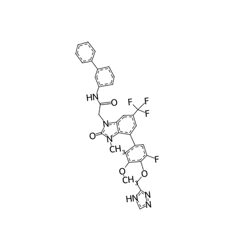 COc1cc(-c2cc(C(F)(F)F)cc3c2n(C)c(=O)n3CC(=O)Nc2cccc(-c3ccccc3)c2)cc(F)c1OCc1nnc[nH]1